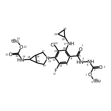 CC(C)(C)OC(=O)NNC(=O)c1cc(F)c(N2CC3C(C2)C3NC(=O)OC(C)(C)C)c(Cl)c1NC1CC1